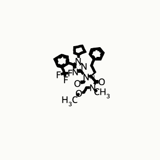 COCCN(C)C(=O)[C@H](CCc1ccccc1)N(C=O)c1nc(-c2ccccc2C(F)(F)F)n(C2CCCC2)n1